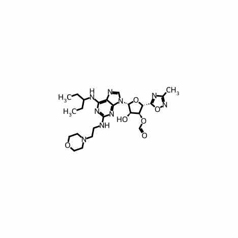 CCC(CC)Nc1nc(NCCN2CCOCC2)nc2c1ncn2[C@@H]1O[C@H](c2nc(C)no2)[C@@H](OC=O)[C@H]1O